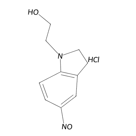 Cl.O=Nc1ccc2c(c1)CCN2CCO